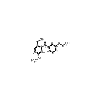 CSc1ncc(CO)c(Nc2cccc(CCO)c2)n1